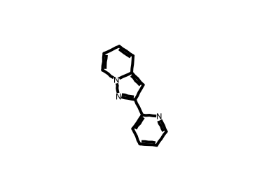 c1ccc(-c2cc3ccccn3n2)nc1